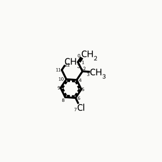 C=C[C](C)c1cc(Cl)ccc1CC